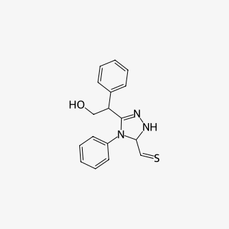 OCC(C1=NNC(C=S)N1c1ccccc1)c1ccccc1